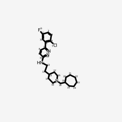 Fc1ccc(Cl)c(-c2ccc(NCCC3CCN(CC4CCCCCC4)CC3)nn2)c1